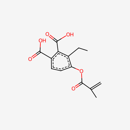 C=C(C)C(=O)Oc1ccc(C(=O)O)c(C(=O)O)c1CC